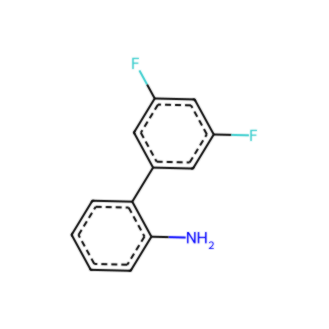 Nc1ccccc1-c1cc(F)cc(F)c1